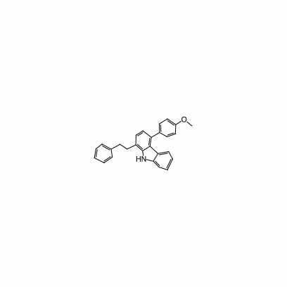 COc1ccc(-c2ccc(CCc3ccccc3)c3[nH]c4ccccc4c23)cc1